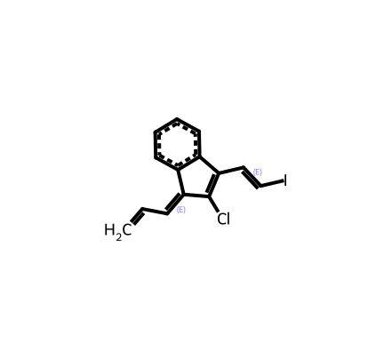 C=C/C=C1C(Cl)=C(/C=C/I)c2ccccc2/1